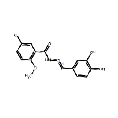 COc1ccc(Cl)cc1C(=O)N/N=C/c1ccc(O)c(O)c1